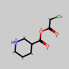 O=C(CCl)OC(=O)C1CCCNC1